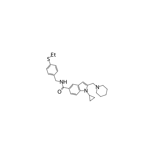 CCSc1ccc(CNC(=O)c2ccc3c(c2)cc(CN2CCCCC2)n3C2CC2)cc1